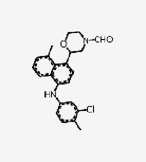 Cc1ccc(Nc2ccc(C3CN(C=O)CCO3)c3c(C)cccc23)cc1Cl